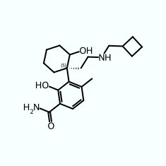 Cc1ccc(C(N)=O)c(O)c1[C@@]1(CCNCC2CCC2)CCCCC1O